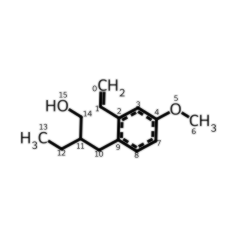 C=Cc1cc(OC)ccc1CC(CC)CO